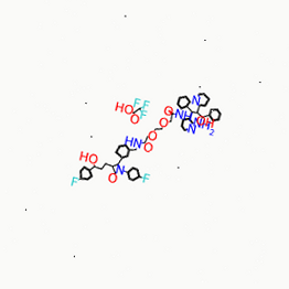 Nc1ncccc1C(c1ccccc1NC(=O)COCCOCC(=O)NCc1cccc(C2C(CCC(O)c3ccc(F)cc3)C(=O)N2c2ccc(F)cc2)c1)C(c1ccccn1)C(O)c1ccccc1.O=C(O)C(F)(F)F